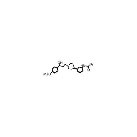 COc1ccc(C(O)CCN2CCC(c3cccc(NC(=O)C(C)C)c3)CC2)cc1